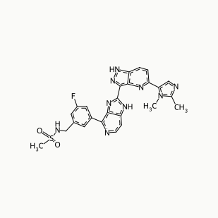 Cc1ncc(-c2ccc3[nH]nc(-c4nc5c(-c6cc(F)cc(CNS(C)(=O)=O)c6)nccc5[nH]4)c3n2)n1C